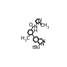 Cc1ccc(C(=O)Nc2ccnn2C)cc1-c1ccc2c(C(C)(C)C)nncc2c1